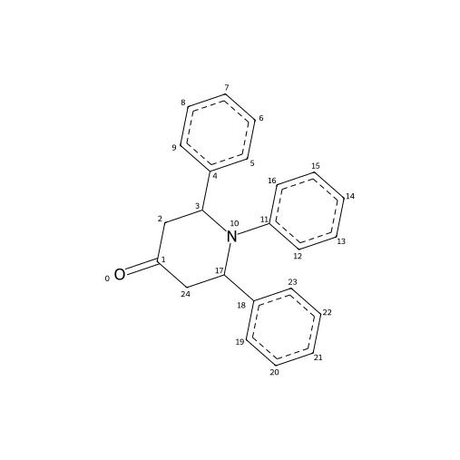 O=C1CC(c2ccccc2)N(c2ccccc2)C(c2ccccc2)C1